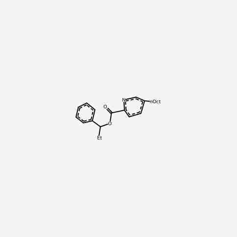 CCCCCCCCc1ccc(C(=O)OC(CC)c2ccccc2)nc1